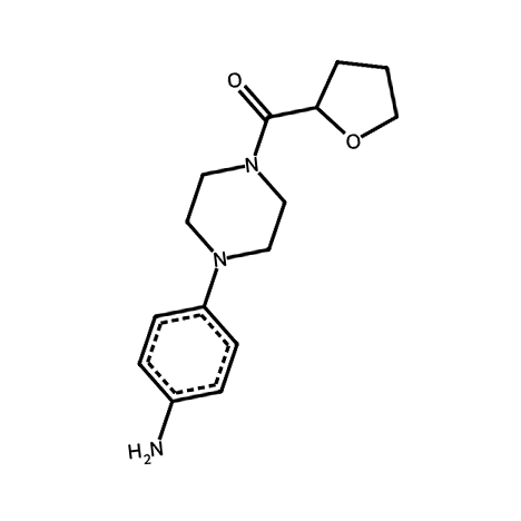 Nc1ccc(N2CCN(C(=O)C3CCCO3)CC2)cc1